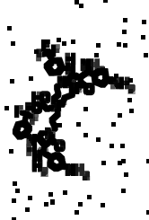 NCCC[N+](CCCN1CC(Nc2cccc(C(F)(F)F)c2)=C([C@H](N)c2ccc(N)cc2)C1=O)(CCCN1CC(Nc2cccc(C(F)(F)F)c2)=C([C@H](N)c2ccc(N)cc2)C1=O)CC(=O)O